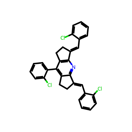 Clc1ccccc1C=C1CCc2c1nc1c(c2-c2ccccc2Cl)CCC1=Cc1ccccc1Cl